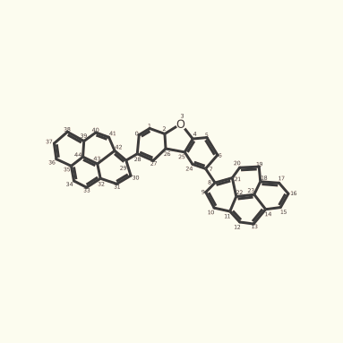 C1=CC2Oc3ccc(-c4ccc5ccc6cccc7ccc4c5c67)cc3C2C=C1c1ccc2ccc3cccc4ccc1c2c34